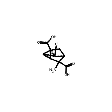 NC1(C(=O)O)C2CC3(C(=O)O)C(C13)C2(Cl)Cl